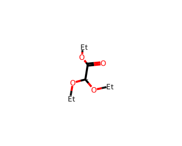 CCO[C](OCC)C(=O)OCC